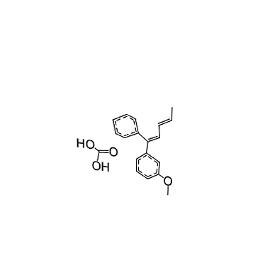 C/C=C/C=C(\c1ccccc1)c1cccc(OC)c1.O=C(O)O